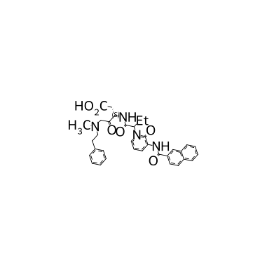 CCC(C(=O)N[C@@H](CC(=O)O)C(=O)CN(C)CCc1ccccc1)n1cccc(NC(=O)c2ccc3ccccc3c2)c1=O